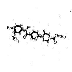 CC1CN(C(=O)OC(C)(C)C)CCN1c1ccc(C(=O)N(F)c2ccc(Br)c(OC(F)(F)F)c2)cn1